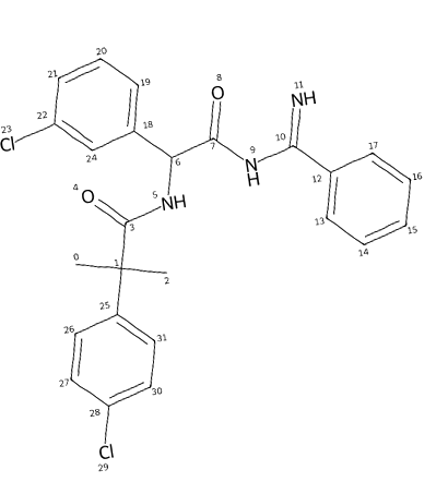 CC(C)(C(=O)NC(C(=O)NC(=N)c1ccccc1)c1cccc(Cl)c1)c1ccc(Cl)cc1